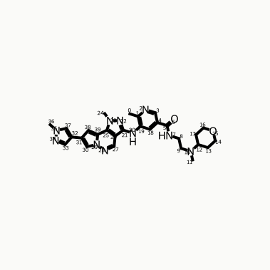 Cc1ncc(C(=O)NCCN(C)C2CCOCC2)cc1Nc1nn(C)c2c1cnn1cc(-c3cnn(C)c3)cc21